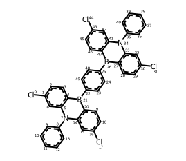 Clc1ccc2c(c1)N(c1ccccc1)c1cc(Cl)ccc1B2c1ccc(B2c3ccc(Cl)cc3N(c3ccccc3)c3cc(Cl)ccc32)cc1